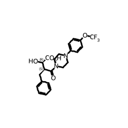 O=C(O)[C@H](O)[C@H](Cc1ccccc1)C(=O)N1CCN(c2ccc(OC(F)(F)F)cc2)CC1